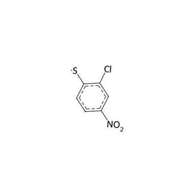 O=[N+]([O-])c1ccc([S])c(Cl)c1